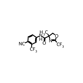 CC1(C(=O)Nc2ccc(C#N)c(C(F)(F)F)c2)COC(C(F)(F)F)=N1